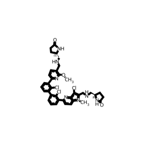 COc1nc(-c2cccc(-c3cccc(-c4ccc5c(n4)c(Cl)c(CNC[C@H]4CCC(=O)N4)n5C)c3Cl)c2Cl)ccc1CNC[C@@H]1CCC(=O)N1